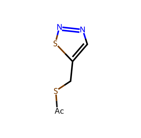 CC(=O)SCc1cnns1